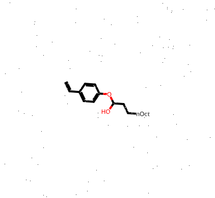 C=Cc1ccc(OC(O)CCCCCCCCCC)cc1